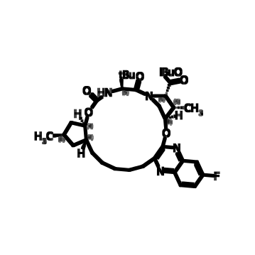 CC(C)COC(=O)[C@@H]1[C@H](C)[C@@H]2CN1C(=O)[C@H](C(C)(C)C)NC(=O)O[C@@H]1C[C@H](C)C[C@H]1CCCCCc1nc3ccc(F)cc3nc1O2